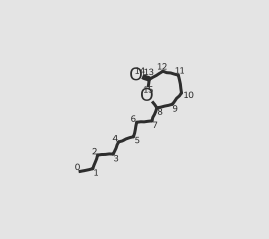 CCCCCCCCC1CCCCC(=O)O1